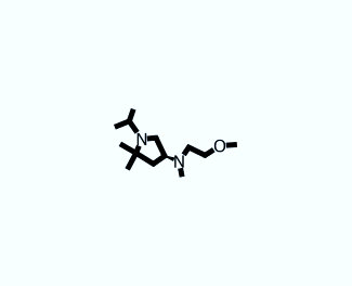 COCCN(C)[C@@H]1CN(C(C)C)C(C)(C)C1